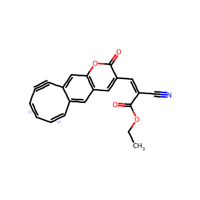 CCOC(=O)C(C#N)=Cc1cc2cc3c(cc2oc1=O)C#C/C=C\C=C/3